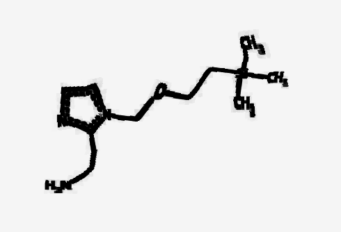 C[Si](C)(C)CCOCn1ccnc1CN